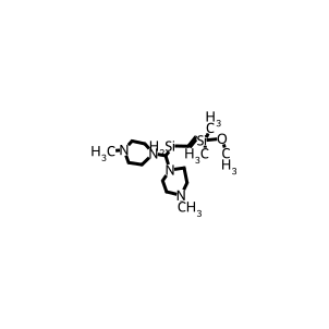 CO[Si](C)(C)C=C[SiH2]C(N1CCN(C)CC1)N1CCN(C)CC1